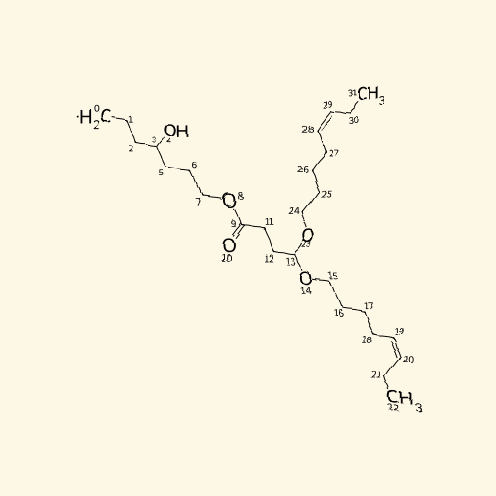 [CH2]CCC(O)CCCOC(=O)CCC(OCCCC/C=C\CC)OCCCC/C=C\CC